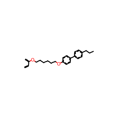 C=CC(=C)OCCCCCCOc1ccc(-c2ccc(CCC)cc2)cc1